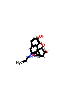 C=CC[N+]12CCC34c5c6ccc(O)c5OC3C(=O)CCC4(NC1)C2C6